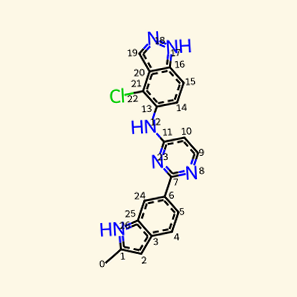 Cc1cc2ccc(-c3nccc(Nc4ccc5[nH]ncc5c4Cl)n3)cc2[nH]1